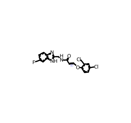 O=C(/C=C/Oc1ccc(Cl)cc1Cl)NCc1nc2ccc(F)cc2[nH]1